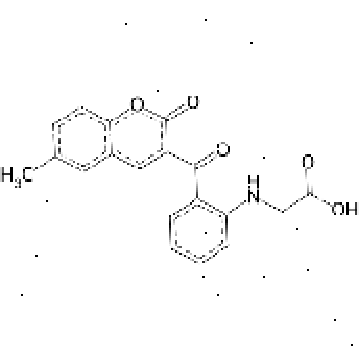 Cc1ccc2oc(=O)c(C(=O)c3ccccc3NCC(=O)O)cc2c1